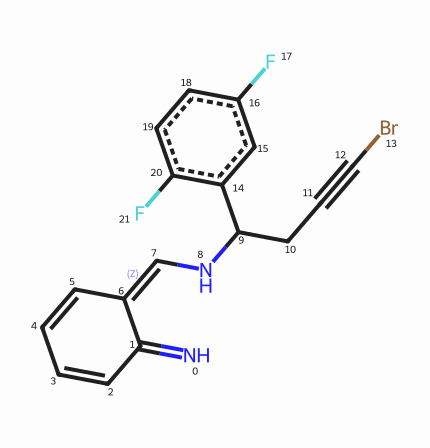 N=C1C=CC=C/C1=C/NC(CC#CBr)c1cc(F)ccc1F